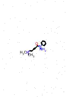 CN(C)C=CC#CC(=O)N(N)c1ccccc1